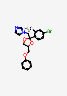 Cc1cc(Br)ccc1C1(Cn2ccnc2)OCC(COc2ccccc2)O1